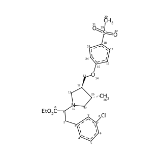 CCOC(=O)C(Cc1cccc(Cl)c1)N1C[C@@H](COc2ccc(S(C)(=O)=O)cc2)[C@H](C)C1